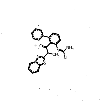 C=C(c1c(/N=C(\N)Cl)cccc1-c1ccccc1)C(C)c1nc2ccccc2s1